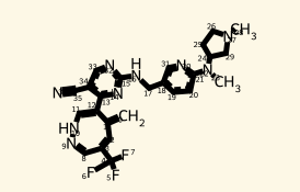 C=C1/C=C(C(F)(F)F)\C=N/N/C=C\1c1nc(NCc2ccc(N(C)C3CCN(C)C3)nc2)ncc1C#N